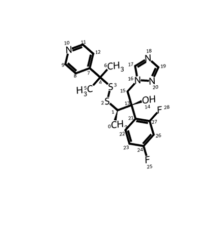 C[C@@H](SSC(C)(C)c1ccncc1)[C@](O)(Cn1cncn1)c1ccc(F)cc1F